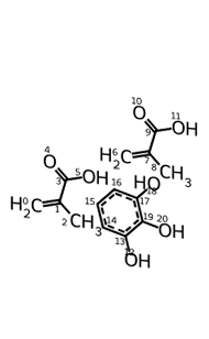 C=C(C)C(=O)O.C=C(C)C(=O)O.Oc1cccc(O)c1O